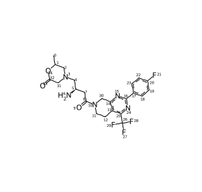 CC1CN(C[C@H](N)CC(=O)N2CCc3c(nc(-c4ccc(F)cc4)nc3C(F)(F)F)C2)CC(=O)O1